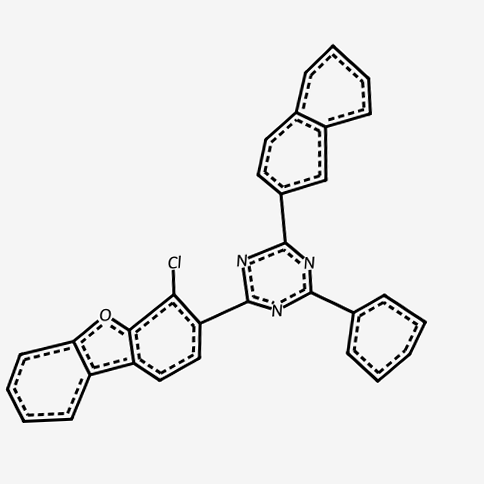 Clc1c(-c2nc(-c3ccccc3)nc(-c3ccc4ccccc4c3)n2)ccc2c1oc1ccccc12